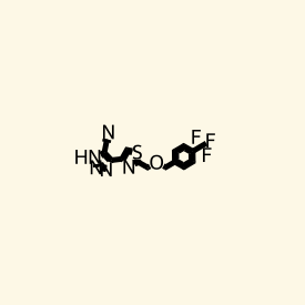 N#Cc1[nH]nnc1-c1csc(COCc2ccc(C(F)(F)F)cc2)n1